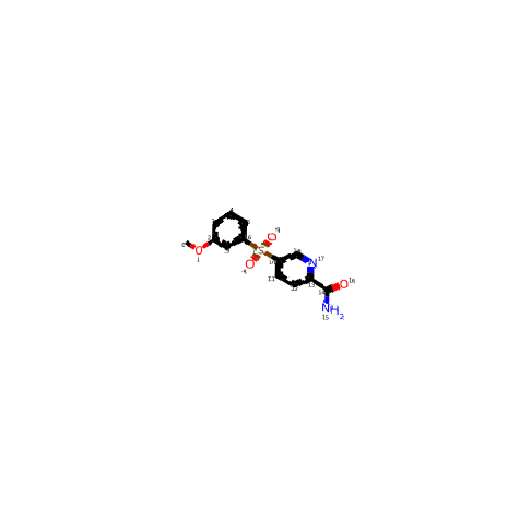 COc1cccc(S(=O)(=O)c2ccc(C(N)=O)nc2)c1